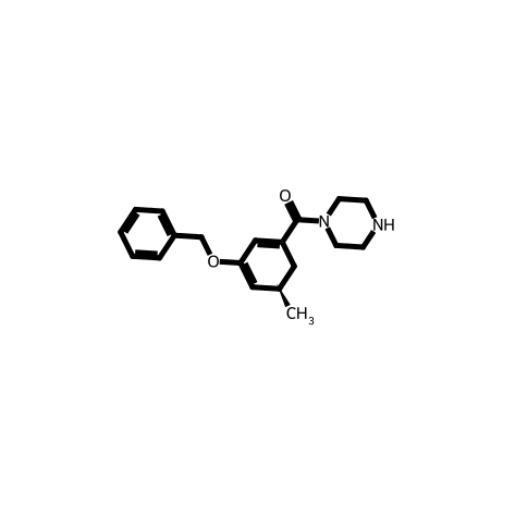 C[C@H]1C=C(OCc2ccccc2)C=C(C(=O)N2CCNCC2)C1